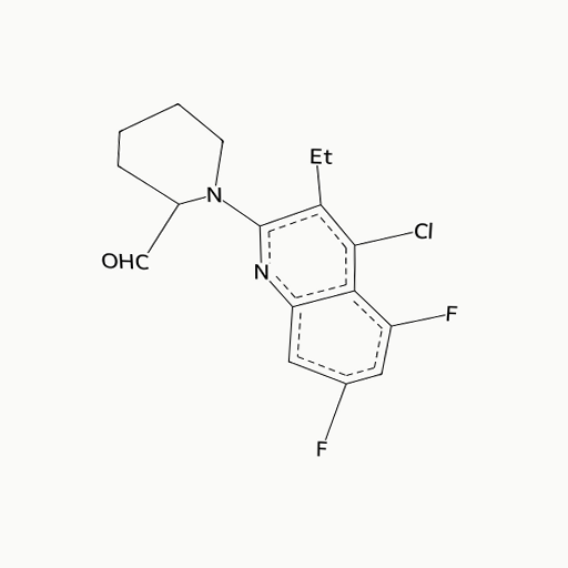 CCc1c(N2CCCCC2C=O)nc2cc(F)cc(F)c2c1Cl